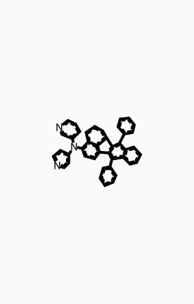 c1ccc(-c2c3c(c(-c4ccccc4)c4ccccc24)-c2ccc(N(c4ccncc4)c4cccnc4)c4cccc-3c24)cc1